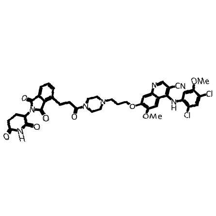 COc1cc(Nc2c(C#N)cnc3cc(OCCCN4CCN(C(=O)CCc5cccc6c5C(=O)N(C5CCC(=O)NC5=O)C6=O)CC4)c(OC)cc23)c(Cl)cc1Cl